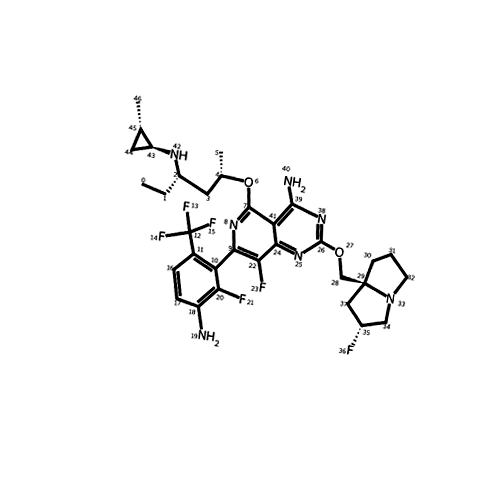 CC[C@@H](C[C@H](C)Oc1nc(-c2c(C(F)(F)F)ccc(N)c2F)c(F)c2nc(OC[C@@]34CCCN3C[C@H](F)C4)nc(N)c12)N[C@H]1C[C@@H]1C